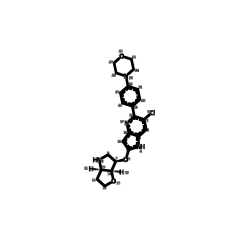 Clc1cc2[nH]c(O[C@@H]3CN[C@@H]4CCO[C@@H]43)cc2nc1-c1ccc(N2CCOCC2)cc1